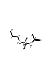 C=C(C)O[Si](C)(C)OCCC